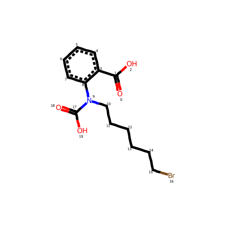 O=C(O)c1ccccc1N(CCCCCCBr)C(=O)O